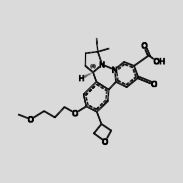 COCCCOc1cc2c(cc1C1COC1)-c1cc(=O)c(C(=O)O)cn1N1[C@@H]2CCC1(C)C